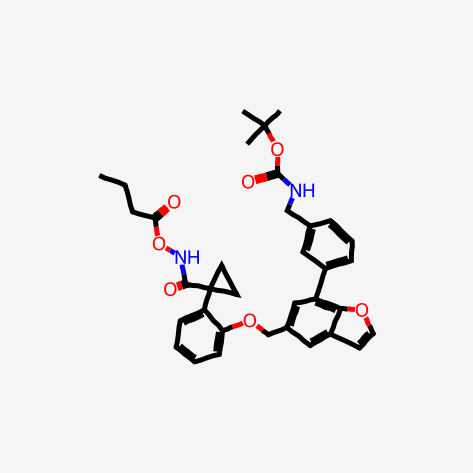 CCCC(=O)ONC(=O)C1(c2ccccc2OCc2cc(-c3cccc(CNC(=O)OC(C)(C)C)c3)c3occc3c2)CC1